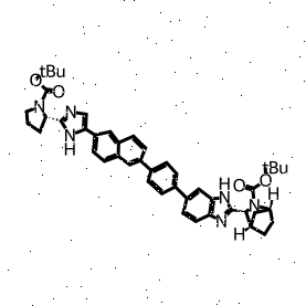 CC(C)(C)OC(=O)N1CCC[C@H]1c1ncc(-c2ccc3cc(-c4ccc(-c5ccc6nc([C@@H]7[C@H]8CC[C@H](C8)N7C(=O)OC(C)(C)C)[nH]c6c5)cc4)ccc3c2)[nH]1